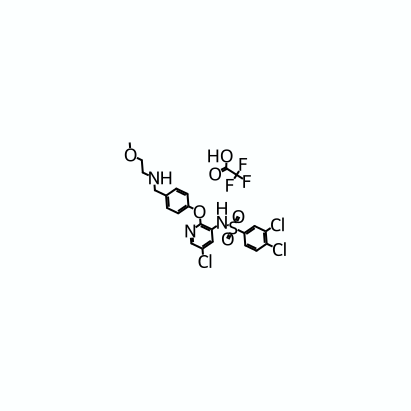 COCCNCc1ccc(Oc2ncc(Cl)cc2NS(=O)(=O)c2ccc(Cl)c(Cl)c2)cc1.O=C(O)C(F)(F)F